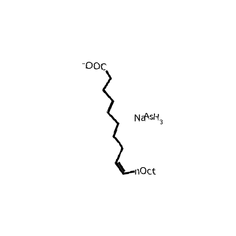 CCCCCCCC/C=C\CCCCCCCC(=O)[O-].[AsH3].[Na+]